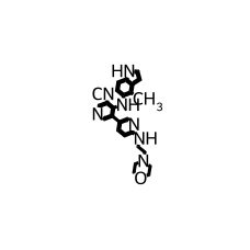 Cc1c(Nc2c(C#N)cncc2-c2ccc(NCCN3CCOCC3)nc2)ccc2[nH]ccc12